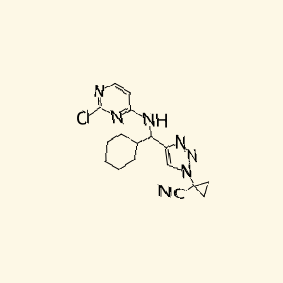 N#CC1(n2cc(C(Nc3ccnc(Cl)n3)C3CCCCC3)nn2)CC1